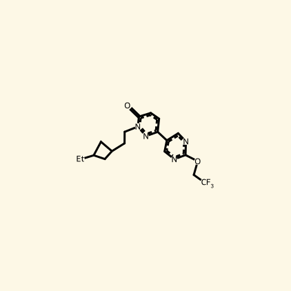 CCC1CC(CCn2nc(-c3cnc(OCC(F)(F)F)nc3)ccc2=O)C1